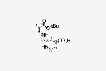 CC(CNCC1CN(C(=O)O)CCN1)C(=O)OC(C)(C)C